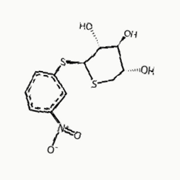 O=[N+]([O-])c1cccc(S[C@@H]2SC[C@@H](O)[C@H](O)[C@H]2O)c1